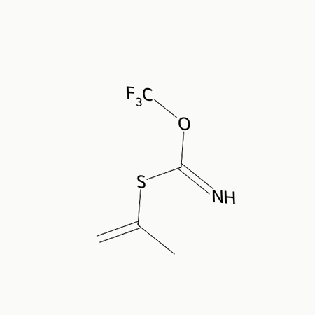 C=C(C)SC(=N)OC(F)(F)F